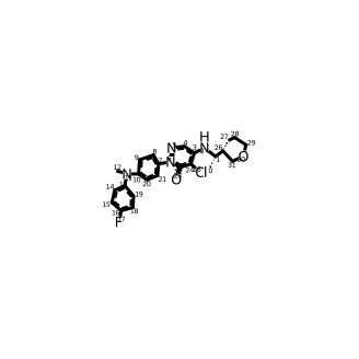 C[C@H](Nc1cnn(-c2ccc(N(C)c3ccc(F)cc3)cc2)c(=O)c1Cl)[C@@H]1CCCOC1